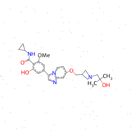 COc1cc(-c2cnc3cc(OCC4CN(CC(C)(C)O)C4)ccn23)cc(O)c1C(=O)NC1CC1